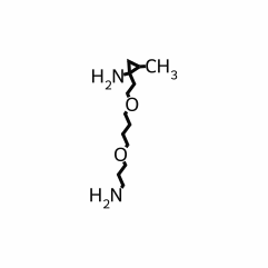 CC1CC1(N)CCOCCCCOCCCN